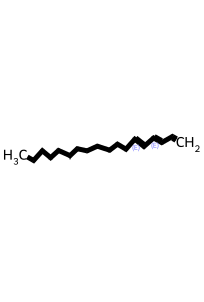 C=C/C=C/C=C/CCCCCC[CH]CCCCC